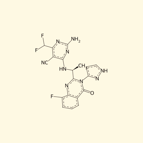 C[C@H](Nc1nc(N)nc(C(F)F)c1C#N)c1nc2c(F)cccc2c(=O)n1-c1cc[nH]n1